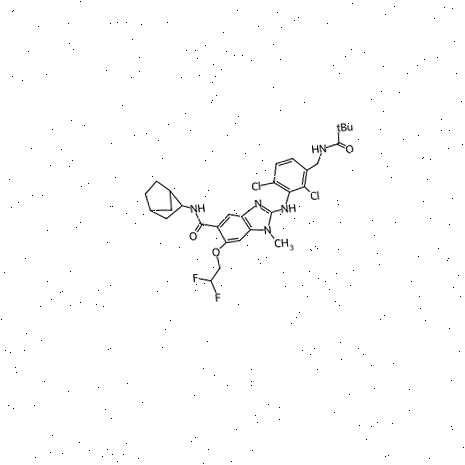 Cn1c(Nc2c(Cl)ccc(CNC(=O)C(C)(C)C)c2Cl)nc2cc(C(=O)NC3CC4CCC3C4)c(OCC(F)F)cc21